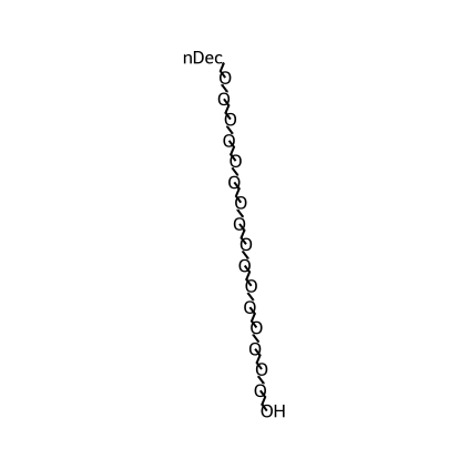 CCCCCCCCCCCCOCCOCCOCCOCCOCCOCCOCCOCCOCCOCCOCCOCCOCCOCCOCCOCCO